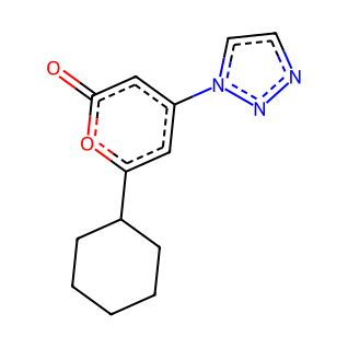 O=c1cc(-n2ccnn2)cc(C2CCCCC2)o1